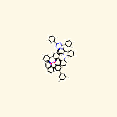 Cc1cc(C)cc(-c2ccc3c(c2)c2ccccc2n3-c2c(-c3ccccc3-n3c4ccccc4c4ccccc43)cc(-c3nc(-c4ccccc4)nc(-c4ccccc4)n3)cc2-c2ccccc2-n2c3ccccc3c3ccccc32)c1